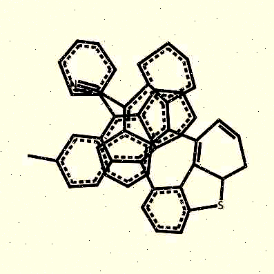 Cc1ccc2c(-c3cccc4c3C3=C(c5c6ccccc6c(C#N)c6ccccc56)C=CCC3S4)c3ccccc3c(-c3ccccc3)c2c1